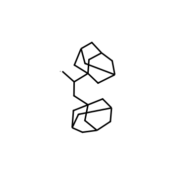 [CH2]C(CC12CC3CC(CC(C3)C1)C2)C12CC3CC(CC(C3)C1)C2